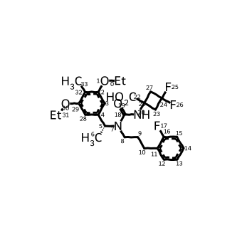 CCOc1cc([C@@H](C)N(CCCc2ccccc2F)C(=O)NC2(C(=O)O)CC(F)(F)C2)cc(OCC)c1C